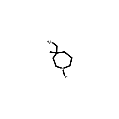 CC(C)N1CCCC(C)(CN)CC1